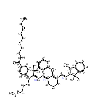 CC[N+]1=C(/C=C/C2=C(Oc3ccccc3)C(=C/C=C3/N(CCCS(=O)(=O)O)c4ccc(C(=O)NCCOCCOCC(C)(C)C)cc4C3(C)C)/CCC2)C(C)(C)c2ccccc21